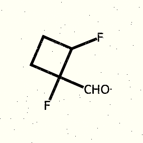 O=[C]C1(F)CCC1F